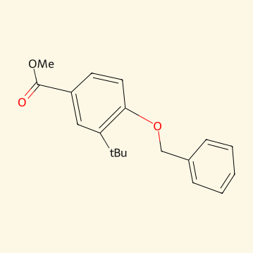 COC(=O)c1ccc(OCc2ccccc2)c(C(C)(C)C)c1